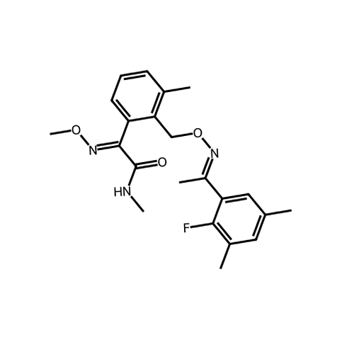 CNC(=O)/C(=N/OC)c1cccc(C)c1CO/N=C(\C)c1cc(C)cc(C)c1F